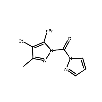 CCCc1c(CC)c(C)nn1C(=O)n1cccn1